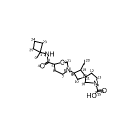 CC1(NC(=O)C2CCN([C@@H]3C[C@]4(CCN(C(=O)O)C4)C3I)CC2)CCC1